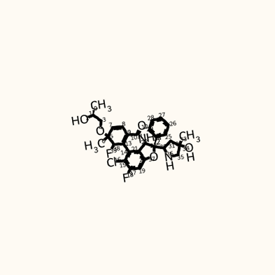 C[C@H](O)COC1(C)C=CC(C(N)=O)=C(c2c(Cl)c(F)cc3c2C[C@](c2ccccc2)(C2CC(C)(O)CN2)O3)C1F